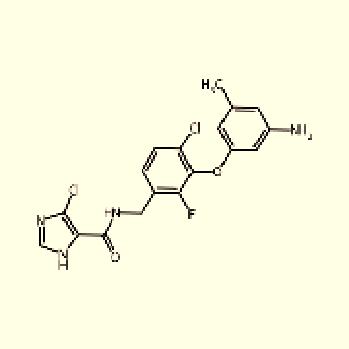 Cc1cc(N)cc(Oc2c(Cl)ccc(CNC(=O)c3[nH]cnc3Cl)c2F)c1